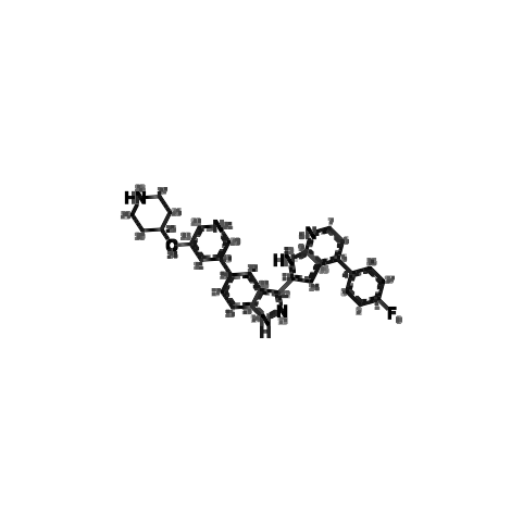 Fc1ccc(-c2ccnc3[nH]c(-c4n[nH]c5ccc(-c6cncc(OC7CCNCC7)c6)cc45)cc23)cc1